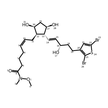 CON(C)C(=O)CCC/C=C\C[C@@H]1[C@@H](/C=C/[C@@H](O)CCc2cc(Br)sc2Br)[C@H](O)C[C@@H]1O